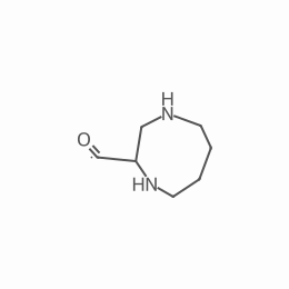 O=[C]C1CNCCCCN1